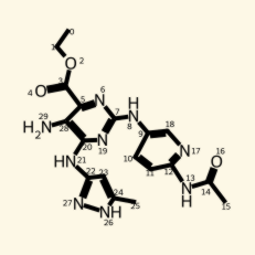 CCOC(=O)c1nc(Nc2ccc(NC(C)=O)nc2)nc(Nc2cc(C)[nH]n2)c1N